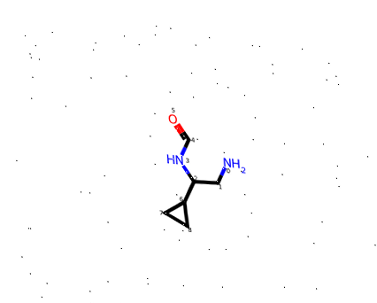 NCC(NC=O)C1CC1